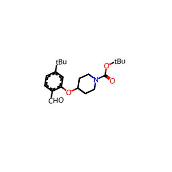 CC(C)(C)OC(=O)N1CCC(Oc2cc(C(C)(C)C)ccc2C=O)CC1